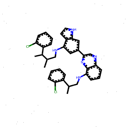 CC(CNc1cccc2ncc(-c3cc(NCC(C)C(C)c4ccccc4Cl)c4cc[nH]c4c3)nc12)c1ccccc1Cl